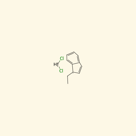 CC[C]1C=Cc2ccccc21.[Cl][Hf][Cl]